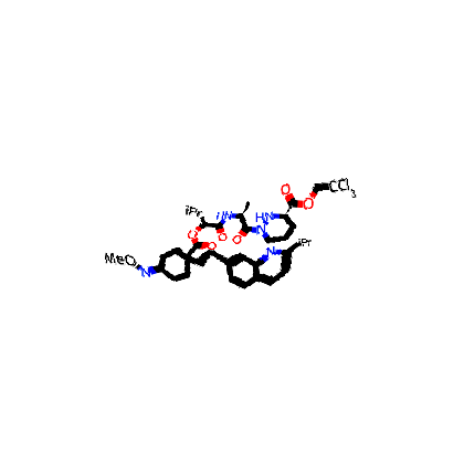 CON=C1CCC(/C=C/c2ccc3ccc(C(C)C)nc3c2)(C(=O)O[C@H](C(=O)N[C@@H](C)C(=O)N2CCC[C@@H](C(=O)OCC(Cl)(Cl)Cl)N2)C(C)C)CC1